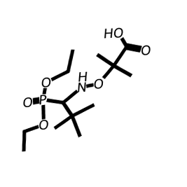 CCOP(=O)(OCC)C(NOC(C)(C)C(=O)O)C(C)(C)C